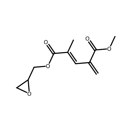 C=C(C=C(C)C(=O)OCC1CO1)C(=O)OC